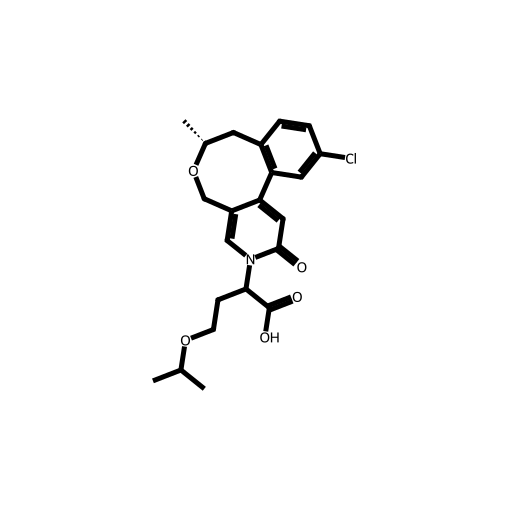 CC(C)OCCC(C(=O)O)n1cc2c(cc1=O)-c1cc(Cl)ccc1C[C@@H](C)OC2